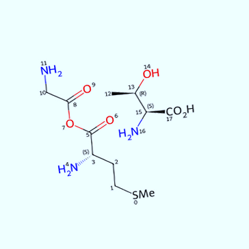 CSCC[C@H](N)C(=O)OC(=O)CN.C[C@@H](O)[C@H](N)C(=O)O